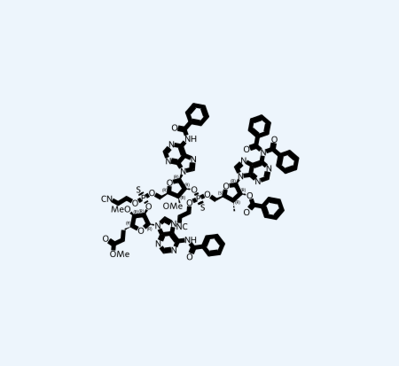 [C-]#[N+]CCOP(=S)(OC[C@H]1O[C@@H](n2cnc3c(NC(=O)c4ccccc4)ncnc32)[C@H](OP(=S)(OCC[N+]#[C-])OC[C@H]2O[C@@H](n3cnc4c(N(C(=O)c5ccccc5)C(=O)c5ccccc5)ncnc43)[C@H](OC(=O)c3ccccc3)[C@@H]2C)[C@@H]1OC)O[C@@H]1[C@H](OC)[C@@H](CCC(=O)OC)O[C@H]1n1cnc2c(NC(=O)c3ccccc3)ncnc21